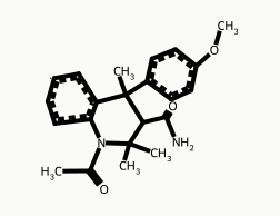 COc1ccc(C2(C)c3c[c]ccc3N(C(C)=O)C(C)(C)C2C(N)=O)cc1